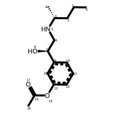 CCC[C@@H](C)NC[C@H](O)c1cccc(OC(C)=O)c1